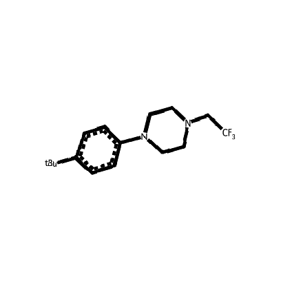 CC(C)(C)c1ccc(N2CCN(CC(F)(F)F)CC2)cc1